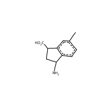 Cc1ccc2c(c1)C(C(=O)O)CC2N